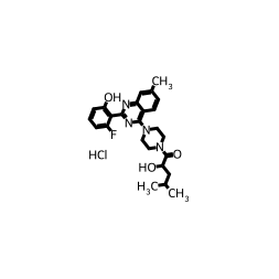 Cc1ccc2c(N3CCN(C(=O)C(O)CC(C)C)CC3)nc(-c3c(O)cccc3F)nc2c1.Cl